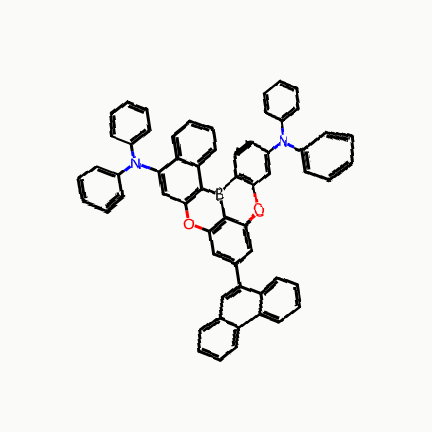 c1ccc(N(c2ccccc2)c2cc3c(c4ccccc24)B2c4c(cc(-c5cc6ccccc6c6ccccc56)cc4Oc4cc(N(c5ccccc5)c5ccccc5)c5ccccc5c42)O3)cc1